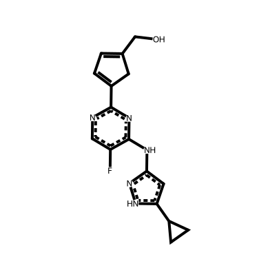 OCC1=CC=C(c2ncc(F)c(Nc3cc(C4CC4)[nH]n3)n2)C1